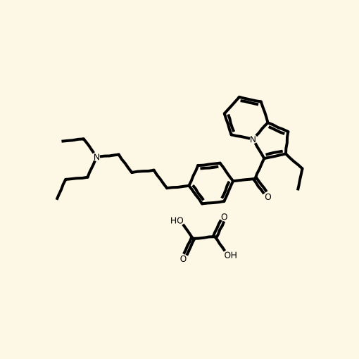 CCCN(CC)CCCCc1ccc(C(=O)c2c(CC)cc3ccccn23)cc1.O=C(O)C(=O)O